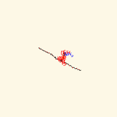 CCCCCCCCCCCCCCCCCCCCCC(=O)O[C@H](COC(=O)CCCCCCCCCCCCC)COP(=O)(O)OC[C@H](N)C(=O)O